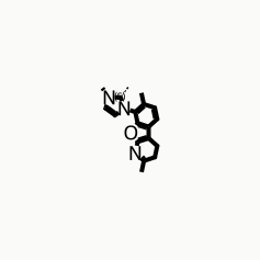 CC1=Nc2oc3c(N4C=CN(C)[C@@H]4C)c(C)ccc3c2CC1